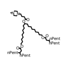 CCCCCC(CCCCC)CC(=O)OCCCCCCCCCC(CCCCCCCCCOC(=O)CC(CCCCC)CCCCC)OC(=O)CCCN1CCN(C)CC1